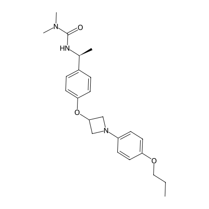 CCCOc1ccc(N2CC(Oc3ccc([C@H](C)NC(=O)N(C)C)cc3)C2)cc1